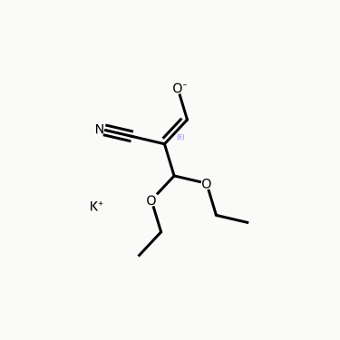 CCOC(OCC)/C(C#N)=C/[O-].[K+]